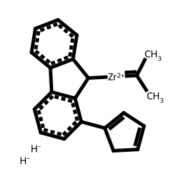 C[C](C)=[Zr+2][CH]1c2ccccc2-c2cccc(C3=CC=CC3)c21.[H-].[H-]